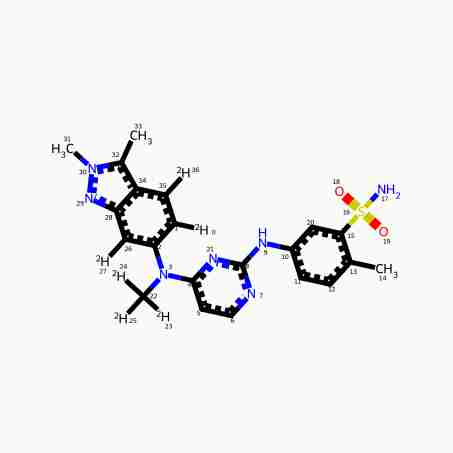 [2H]c1c(N(c2ccnc(Nc3ccc(C)c(S(N)(=O)=O)c3)n2)C([2H])([2H])[2H])c([2H])c2nn(C)c(C)c2c1[2H]